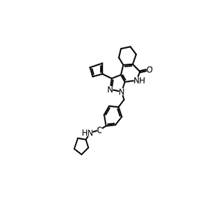 O=c1[nH]c2c(c(C3=CC=C3)nn2Cc2ccc(CNC3CCCC3)cc2)c2c1CCCC2